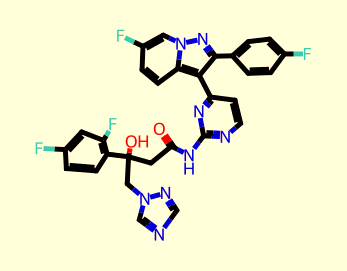 O=C(CC(O)(Cn1cncn1)c1ccc(F)cc1F)Nc1nccc(-c2c(-c3ccc(F)cc3)nn3cc(F)ccc23)n1